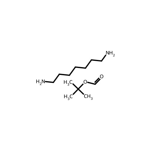 CC(C)(C)OC=O.NCCCCCCCN